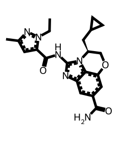 CCn1nc(C)cc1C(=O)Nc1nc2cc(C(N)=O)cc3c2n1[C@@H](CC1CC1)CO3